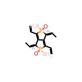 BP1(=O)C(C=C)=C2C(=C(C=C)P(B)(=O)/C2=C/C)/C1=C\C